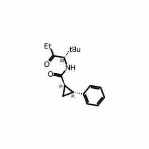 CCC(=O)[C@@H](NC(=O)[C@@H]1C[C@H]1c1ccccc1)C(C)(C)C